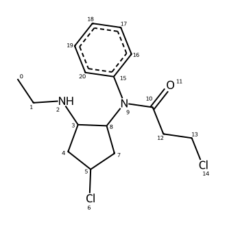 CCNC1CC(Cl)CC1N(C(=O)CCCl)c1ccccc1